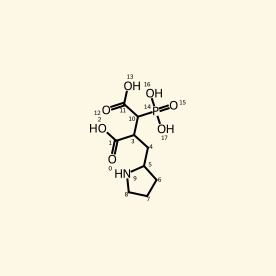 O=C(O)C(CC1CCCN1)C(C(=O)O)P(=O)(O)O